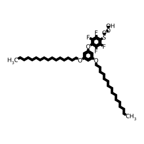 CCCCCCCCCCCCCCCCOc1cc(OCCCCCCCCCCCCCCCC)cc(Oc2c(F)c(F)c(SOOO)c(F)c2F)c1